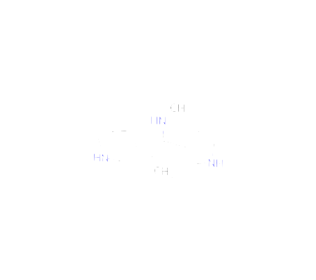 CNC(C1CCNC1)C(C)C1CCCNC1